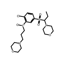 CCC(N1CCOCC1)S(=O)(=O)c1ccc(Cl)c([S+]([O-])CCCN2CCOCC2)c1